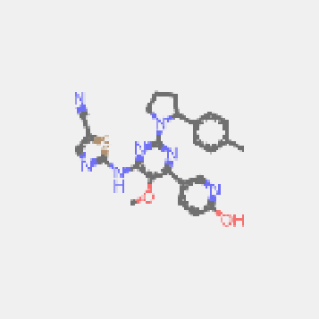 COc1c(Nc2ncc(C#N)s2)nc(N2CCCC2c2ccc(C)cc2)nc1-c1ccc(O)nc1